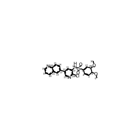 COC1C=CC(S(=O)(=O)Nc2cc(-c3ccc4ncccc4c3)cnc2Cl)=CC1OC